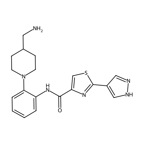 NCC1CCN(c2ccccc2NC(=O)c2csc(-c3cn[nH]c3)n2)CC1